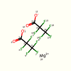 O=C([O-])C(F)(F)C(F)(F)F.O=C([O-])C(F)(F)C(F)(F)F.[Mg+2]